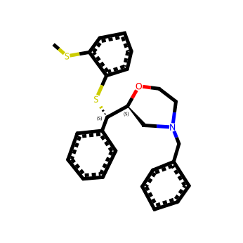 CSc1ccccc1S[C@@H](c1ccccc1)[C@@H]1CN(Cc2ccccc2)CCO1